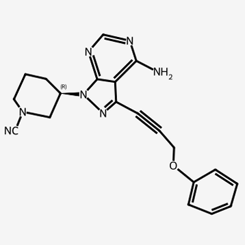 N#CN1CCC[C@@H](n2nc(C#CCOc3ccccc3)c3c(N)ncnc32)C1